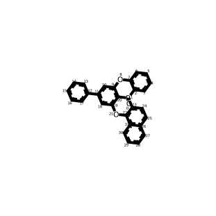 O=P12c3ccccc3Oc3cc(-c4ccccc4)cc(c31)Oc1c2ccc2ccccc12